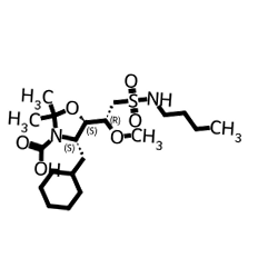 CCCCNS(=O)(=O)C[C@H](OC)[C@H]1OC(C)(C)N(C(=O)O)[C@H]1CC1CCCCC1